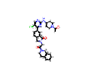 CC(=O)N1CCC(Nc2ncc(Cl)c(-c3ccc4c(c3)C(=O)N(CC(=O)N3CCc5ccccc5C3)C4)n2)CC1